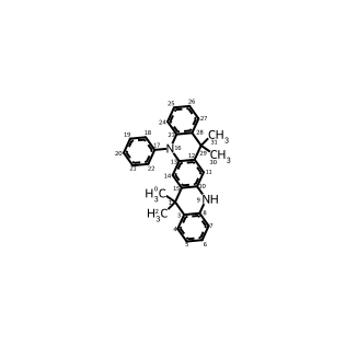 CC1(C)c2ccccc2Nc2cc3c(cc21)N(c1ccccc1)c1ccccc1C3(C)C